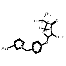 CSc1ccc[n+](Cc2ccc(SC3S[C@@H]4[C@@H]([C@@H](C)O)C(=O)N4C3C(=O)[O-])cc2)c1